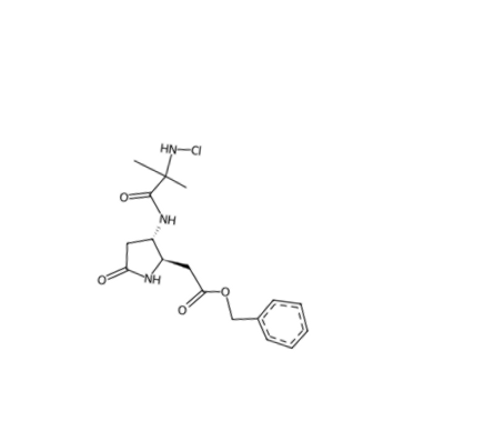 CC(C)(NCl)C(=O)N[C@H]1CC(=O)N[C@@H]1CC(=O)OCc1ccccc1